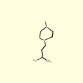 CC(C)CCN1CCN(I)CC1